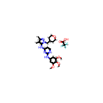 COc1cc(Nc2nccc(Nc3c(C)c(C)nn3CC3CCOCC3)n2)cc(OC)c1OC.O=C(O)C(F)(F)F